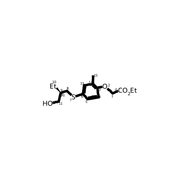 CCOC(=O)COc1ccc(SC[C@H](CC)CO)cc1C